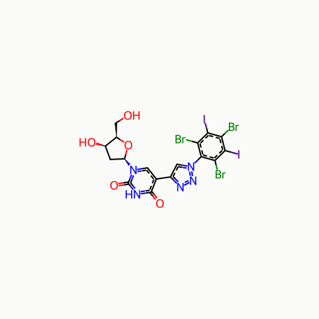 O=c1[nH]c(=O)n([C@H]2C[C@@H](O)[C@@H](CO)O2)cc1-c1cn(-c2c(Br)c(I)c(Br)c(I)c2Br)nn1